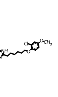 COc1ccc(OCCCCCCc2nnn[nH]2)c(Cl)c1